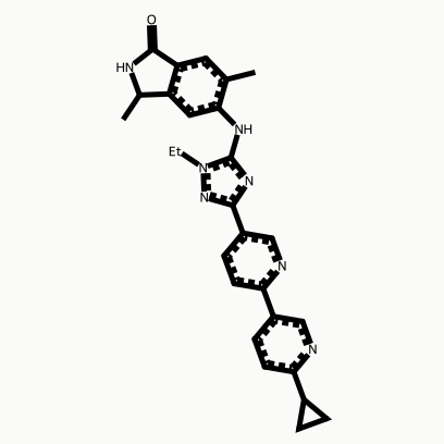 CCn1nc(-c2ccc(-c3ccc(C4CC4)nc3)nc2)nc1Nc1cc2c(cc1C)C(=O)NC2C